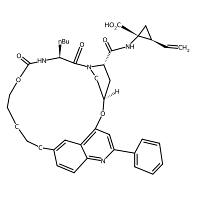 C=C[C@@H]1C[C@]1(NC(=O)[C@@H]1C[C@@H]2CN1C(=O)[C@H](CCCC)NC(=O)OCCCCCc1ccc3nc(-c4ccccc4)cc(c3c1)O2)C(=O)O